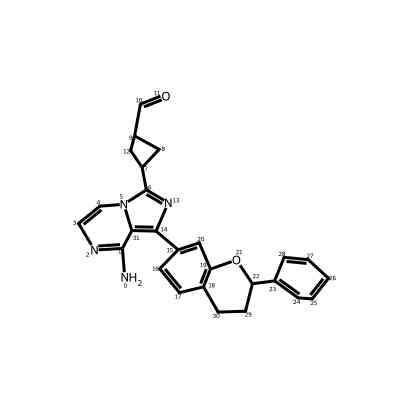 Nc1nccn2c(C3CC(C=O)C3)nc(-c3ccc4c(c3)OC(c3ccccc3)CC4)c12